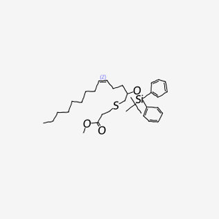 CCCCCCCC/C=C\CCC(CSCCC(=O)OC)O[Si](c1ccccc1)(c1ccccc1)C(C)(C)C